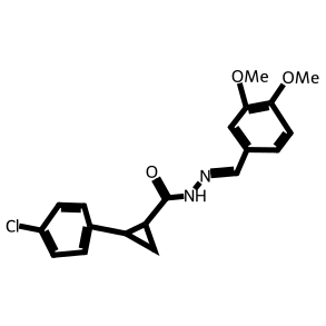 COc1ccc(C=NNC(=O)C2CC2c2ccc(Cl)cc2)cc1OC